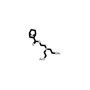 CC(=O)OCCN(CCOC(C)=O)CCOC(=O)C1CC2CCC1O2